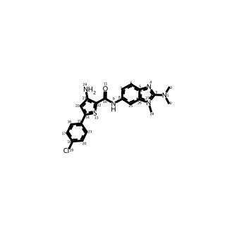 CN(C)c1nc2ccc(NC(=O)c3sc(-c4ccc(Cl)cc4)cc3N)cc2n1C